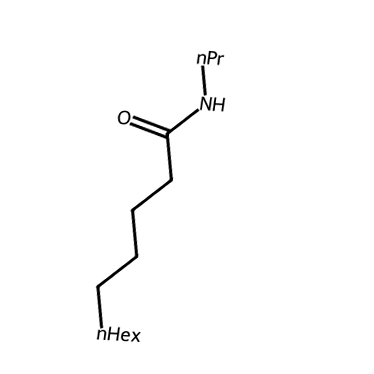 [CH2]CCNC(=O)CCCCCCCCCC